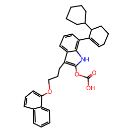 O=C(O)Oc1[nH]c2c(C3=CCCCC3C3CCCCC3)cccc2c1CCCOc1cccc2ccccc12